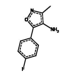 Cc1noc(-c2ccc(F)cc2)c1N